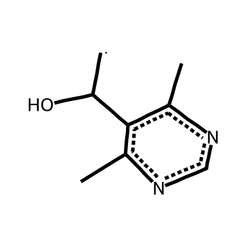 [CH2]C(O)c1c(C)ncnc1C